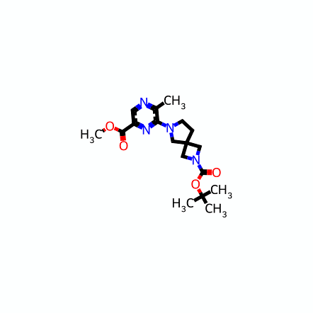 COC(=O)c1cnc(C)c(N2CCC3(CN(C(=O)OC(C)(C)C)C3)C2)n1